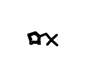 CC(C)(C)Cc1ccon1